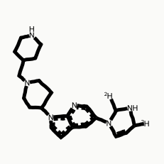 [2H]C1C=CN(c2cnc3c(ccn3C3CCN(CC4CCNCC4)CC3)c2)C([2H])N1